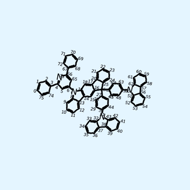 c1ccc(-c2cc(-n3c4ccccc4c4cc5c(cc43)-c3ccccc3C5(c3ccc(-n4c5ccccc5c5ccccc54)cc3)c3ccc(-n4c5ccccc5c5ccccc54)cc3)cc(-c3ccccc3)n2)cc1